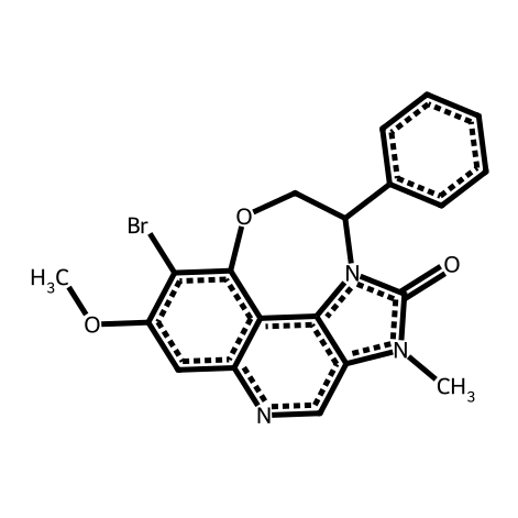 COc1cc2ncc3c4c2c(c1Br)OCC(c1ccccc1)n4c(=O)n3C